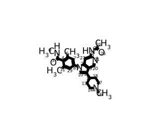 CNC(=O)c1c(C)cc(-n2cc(C3CCN(C)CC3)c3cnc(NC(C)=O)cc32)cc1C